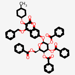 C[C@H]1CC[C@H](Oc2c(OCc3ccccc3)c3ccc(O[C@@H]4O[C@H](COC(=O)c5ccccc5)[C@@H](OC(=O)c5ccccc5)[C@H](OC(=O)c5ccccc5)[C@H]4OC(=O)c4ccccc4)cc3oc2=O)CC1